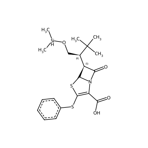 C[SiH](C)OC[C@H]([C@H]1C(=O)N2C(C(=O)O)=C(Sc3ccccc3)SC12)C(C)(C)C